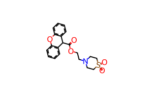 O=C(OCCN1CCS(=O)(=O)CC1)C1c2ccccc2Oc2ccccc21